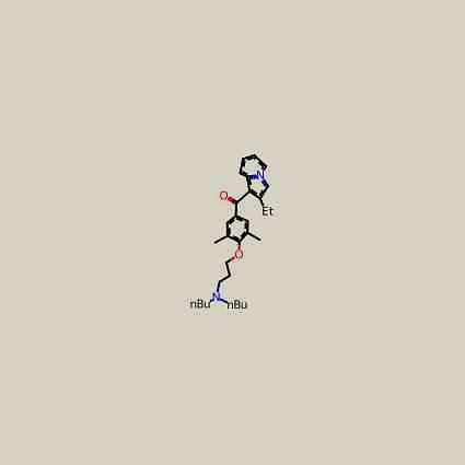 CCCCN(CCCC)CCCOc1c(C)cc(C(=O)c2c(CC)cn3ccccc23)cc1C